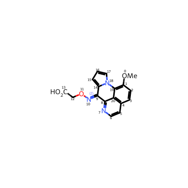 COc1ccc2ccnc3/c(=N/OCC(=O)O)c4cccn4c1c23